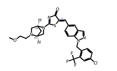 COCCN1C[C@@H]2C[C@H]1CN2C1=NC(=O)/C(=C/c2ccc3c(cnn3Cc3ccc(Cl)cc3C(F)(F)F)c2)S1